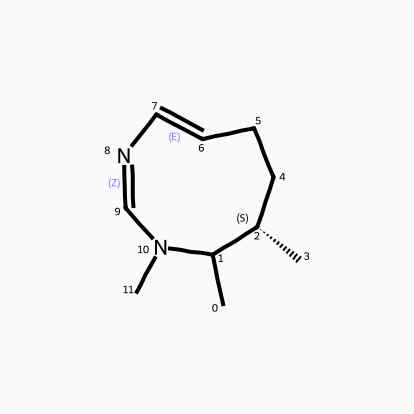 CC1[C@@H](C)CC/C=C/N=C\N1C